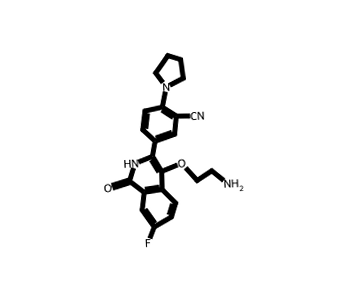 N#Cc1cc(-c2[nH]c(=O)c3cc(F)ccc3c2OCCN)ccc1N1CCCC1